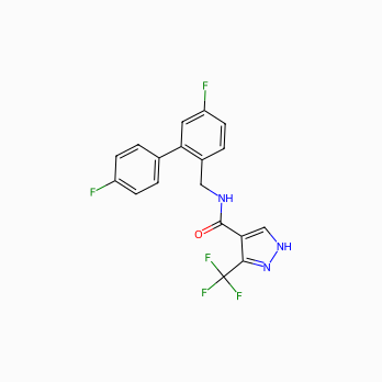 O=C(NCc1ccc(F)cc1-c1ccc(F)cc1)c1c[nH]nc1C(F)(F)F